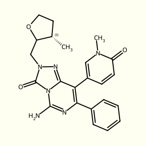 C[C@H]1CCOC1Cn1nc2c(-c3ccc(=O)n(C)c3)c(-c3ccccc3)nc(N)n2c1=O